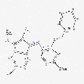 COc1ccc(/C=C2/C(C)=C(CC(=O)O)c3cc(F)ccc32)c(OCc2ccccc2)c1